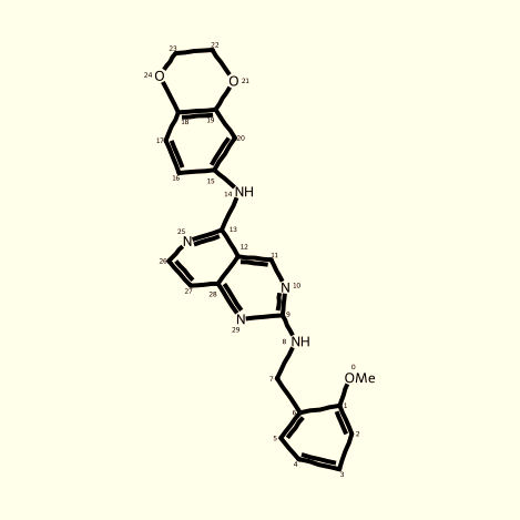 COc1ccccc1CNc1ncc2c(Nc3ccc4c(c3)OCCO4)nccc2n1